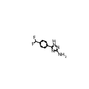 Nc1n[nH]c(-c2ccc(C(F)F)cc2)n1